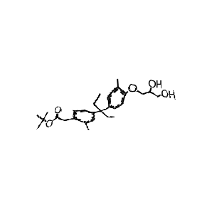 CCC(CC)(c1ccc(CC(=O)OC(C)(C)C)c(C)c1)c1ccc(OCC(O)CO)c(C)c1